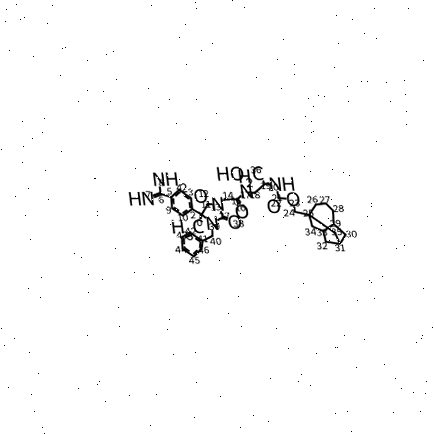 CC1(c2ccc(C(=N)N)cc2)C(=O)N(CC(=O)NC[C@H](NC(=O)OCC23CCCC4CC(CC4C2)C3)C(=O)O)C(=O)N1Cc1ccccc1